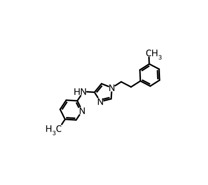 Cc1ccc(Nc2cn(CCc3cccc(C)c3)cn2)nc1